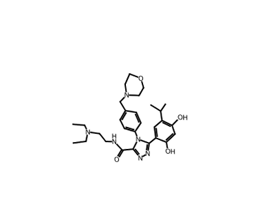 CCN(CC)CCNC(=O)c1nnc(-c2cc(C(C)C)c(O)cc2O)n1-c1ccc(CN2CCOCC2)cc1